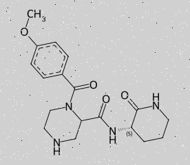 COc1ccc(C(=O)N2CCNCC2C(=O)N[C@H]2CCCNC2=O)cc1